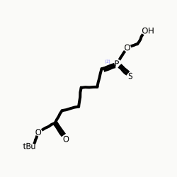 CC(C)(C)OC(=O)CCCC/C=P(=S)/OCO